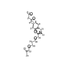 CC(=O)CC(=O)Cc1ccc(CN(C)C(=O)COCCCOCC(C)C)cc1